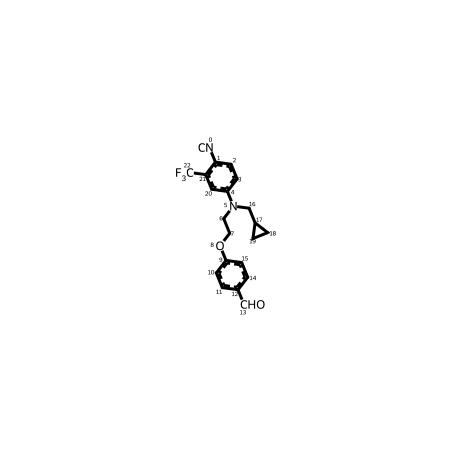 [C-]#[N+]c1ccc(N(CCOc2ccc(C=O)cc2)CC2CC2)cc1C(F)(F)F